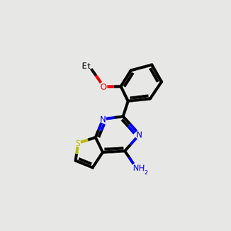 CCOc1ccccc1-c1nc(N)c2ccsc2n1